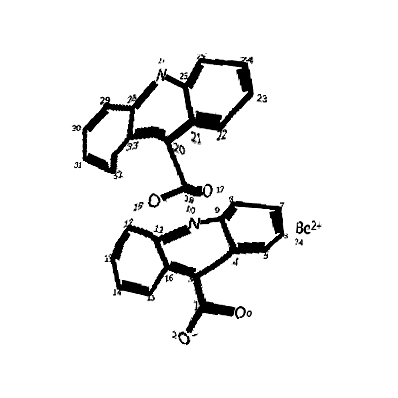 O=C([O-])c1c2ccccc2nc2ccccc12.O=C([O-])c1c2ccccc2nc2ccccc12.[Be+2]